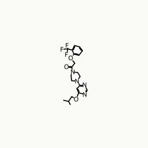 CC(C)COc1cc(N2CCN(C(=O)COc3ccccc3C(F)(F)F)CC2)ncn1